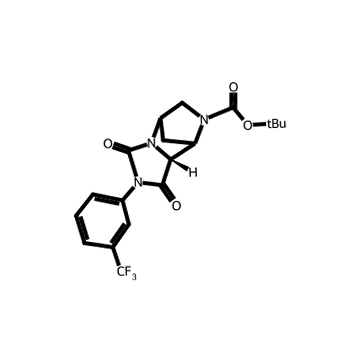 CC(C)(C)OC(=O)N1CC2CC1[C@@H]1C(=O)N(c3cccc(C(F)(F)F)c3)C(=O)N21